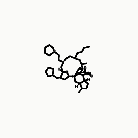 CCCCC1CCN(CCN2CCCCC2)C[C@@H]2O[C@H](C[C@H]2CC2CCCC2)C23C[C@@H]4[C@H](C)CC[C@H]4C4(C=O)CC2C=C(C(C)C1)[C@]43C(=O)O